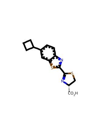 O=C(O)[C@H]1CSC(c2nc3ccc(C4CCC4)cc3s2)=N1